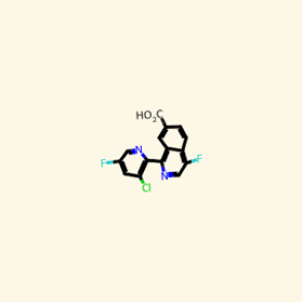 O=C(O)c1ccc2c(F)cnc(-c3ncc(F)cc3Cl)c2c1